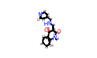 CN1C(=O)/C(=C/NCc2ccncc2)C(=O)c2ccccc21